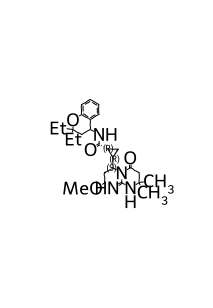 CCC1(CC)CC(NC(=O)[C@@H]2C[C@H]2[C@H](CCOC)N2C(=N)NC(C)(C)CC2=O)c2ccccc2O1